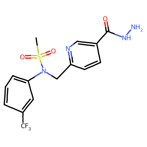 CS(=O)(=O)N(Cc1ccc(C(=O)NN)cn1)c1cccc(C(F)(F)F)c1